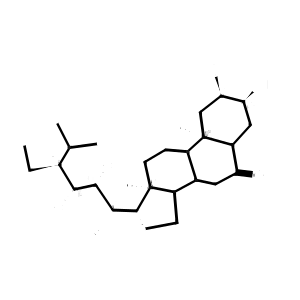 CC[C@@H](C(C)C)[C@@H](O)[C@H](O)[C@@H](C)[C@H]1CCC2C3CC(=O)C4C[C@H](O)[C@H](O)C[C@]4(C)C3CC[C@@]21C